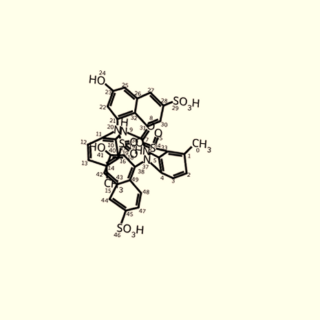 Cc1ccc2c(NC(=O)Nc3c4ccc(C)c3S(=O)(=O)N4c3cc(O)cc4cc(S(=O)(=O)O)ccc34)c1S(=O)(=O)N2c1cc(O)cc2cc(S(=O)(=O)O)ccc12